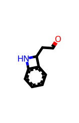 O=CCC1Nc2ccccc21